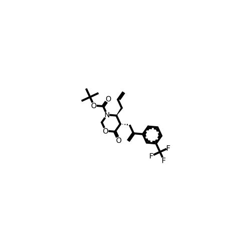 C=CC[C@H]1[C@H](CC(=C)c2cccc(C(F)(F)F)c2)C(=O)OCN1C(=O)OC(C)(C)C